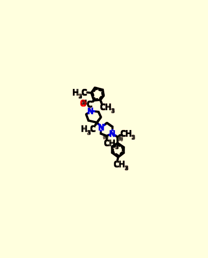 Cc1ccc([C@H](C)N2CCN(C3(C)CCN([11C](=O)c4c(C)cccc4C)CC3)C[C@@H]2C)cc1